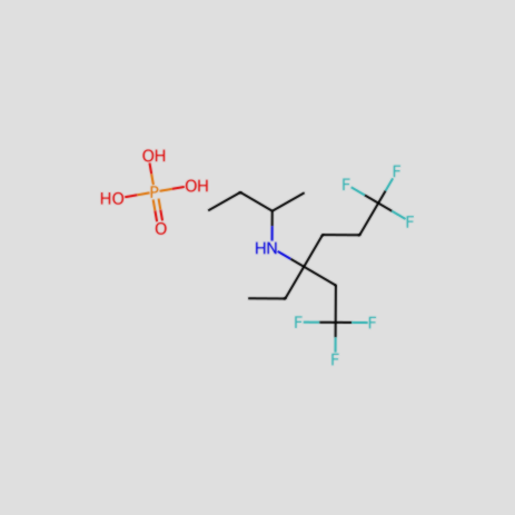 CCC(C)NC(CC)(CCC(F)(F)F)CC(F)(F)F.O=P(O)(O)O